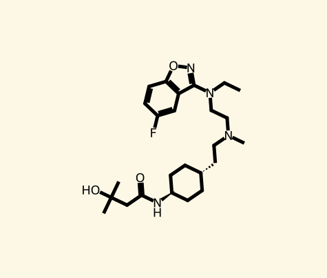 CCN(CCN(C)CC[C@H]1CC[C@H](NC(=O)CC(C)(C)O)CC1)c1noc2ccc(F)cc12